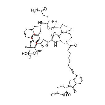 NC(=O)CC[C@H](NC(=O)[C@@H]1CC[C@@H]2CCN(C(=O)CCCCCC#Cc3cccc4c3CN(C3CCC(=O)NC3=O)C4=O)C[C@H](NC(=O)c3cc4cc(C(F)(F)P(=O)(O)O)ccc4s3)C(=O)N21)C(=O)NC(Cc1ccccc1)Cc1ccccc1